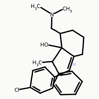 CC(c1ccccc1)C1(O)/C(=C\c2ccc(Cl)cc2)CCCC1CN(C)C